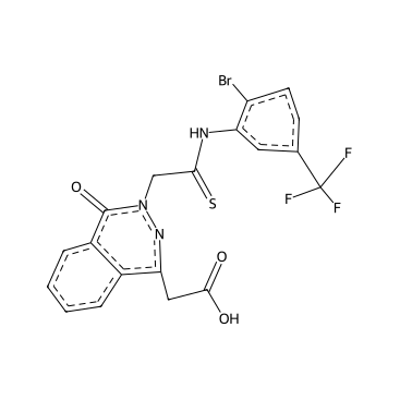 O=C(O)Cc1nn(CC(=S)Nc2cc(C(F)(F)F)ccc2Br)c(=O)c2ccccc12